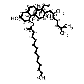 CCCCCCCCCCCCC(=O)OC1C[C@H](O)CC2=CC[C@H]3[C@@H]4CC[C@H]([C@H](C)CCCC(C)C)[C@@]4(C)CC[C@@H]3[C@]21C